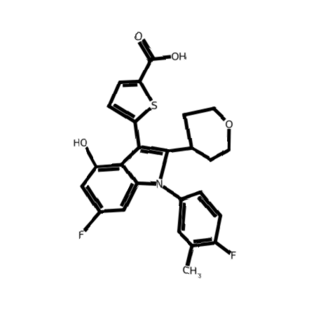 Cc1cc(-n2c(C3CCOCC3)c(-c3ccc(C(=O)O)s3)c3c(O)cc(F)cc32)ccc1F